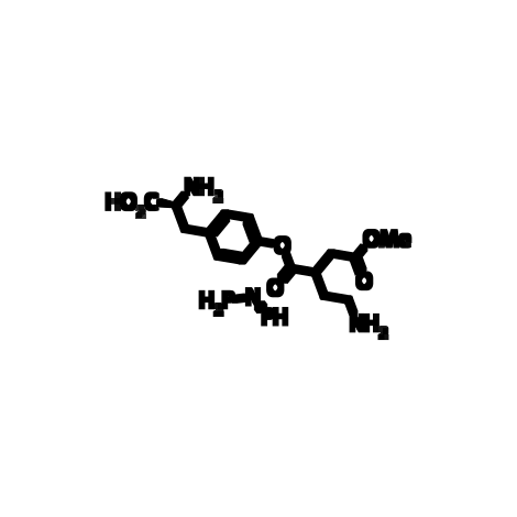 COC(=O)CC(CCN)C(=O)Oc1ccc(C[C@H](N)C(=O)O)cc1.P=NP